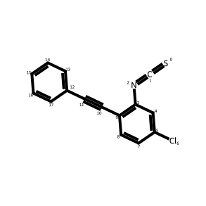 S=C=Nc1cc(Cl)ccc1C#Cc1ccccc1